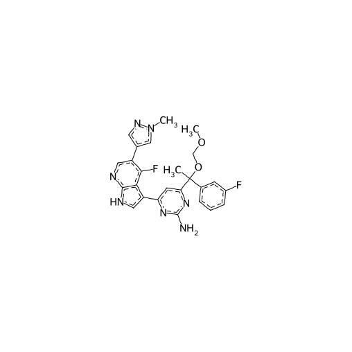 COCOC(C)(c1cccc(F)c1)c1cc(-c2c[nH]c3ncc(-c4cnn(C)c4)c(F)c23)nc(N)n1